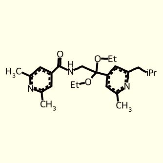 CCOC(CNC(=O)c1cc(C)nc(C)c1)(OCC)c1cc(C)nc(CC(C)C)c1